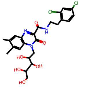 Cc1cc2nc(C(=O)NCCc3ccc(Cl)cc3Cl)c(=O)n(CC(O)C(O)C(O)CO)c2cc1C